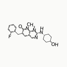 Cn1c(=O)c(Cc2ccccc2F)cc2cnc(N[C@H]3CC[C@H](O)CC3)nc21